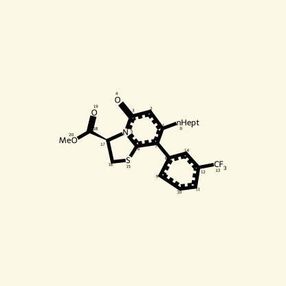 CCCCCCCc1cc(=O)n2c(c1-c1cccc(C(F)(F)F)c1)SC[C@H]2C(=O)OC